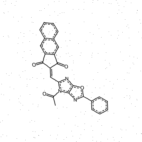 CC(=O)n1c(C=C2C(=O)c3cc4ccccc4cc3C2=O)nc2oc(-c3ccccc3)nc21